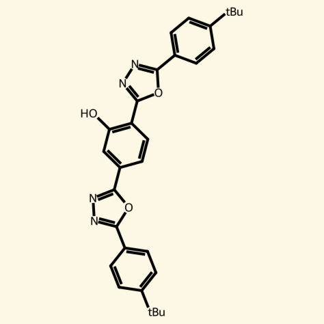 CC(C)(C)c1ccc(-c2nnc(-c3ccc(-c4nnc(-c5ccc(C(C)(C)C)cc5)o4)c(O)c3)o2)cc1